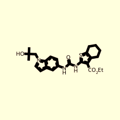 CCOC(=O)c1c(NC(=O)Nc2ccc3c(ccn3CC(C)(C)O)c2)sc2c1CCCC2